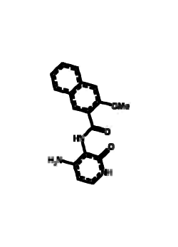 COc1cc2ccccc2cc1C(=O)Nc1c(N)cc[nH]c1=O